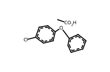 CC(=O)O.Clc1ccc(Oc2ccccc2)cc1